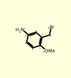 COc1ccc(N)cc1CBr